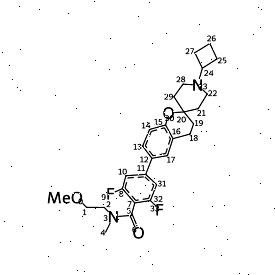 COCCN(C)C(=O)c1c(F)cc(-c2ccc3c(c2)CCC2(CCN(C4CCC4)CC2)O3)cc1F